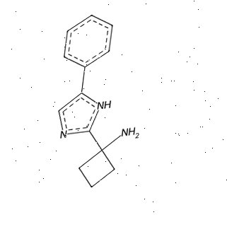 NC1(c2ncc(-c3ccccc3)[nH]2)CCC1